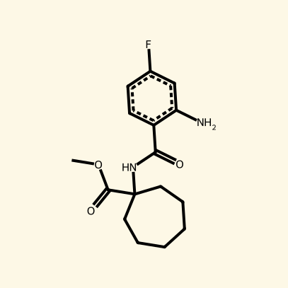 COC(=O)C1(NC(=O)c2ccc(F)cc2N)CCCCCC1